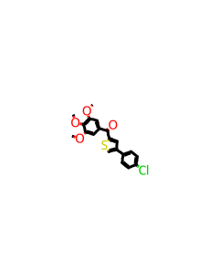 COc1cc(C(=O)c2cc(-c3ccc(Cl)cc3)cs2)cc(OC)c1OC